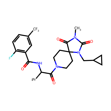 CC(C)C(NC(=O)c1cc(C(F)(F)F)ccc1F)C(=O)N1CCC2(CC1)C(=O)N(C)C(=O)N2CC1CC1